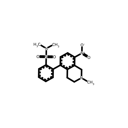 CN1CCc2c(-c3ccccc3S(=O)(=O)N(C)C)ccc([N+](=O)[O-])c2C1